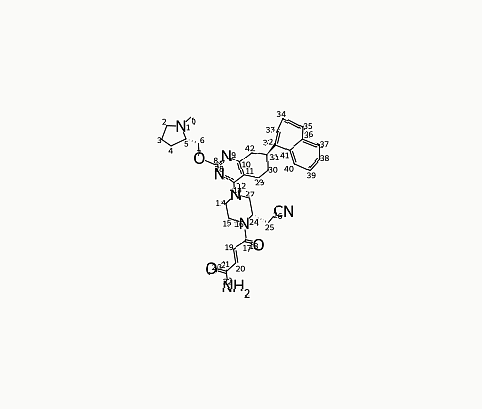 CN1CCC[C@H]1COc1nc2c(c(N3CCN(C(=O)/C=C/C(N)=O)[C@@H](CC#N)C3)n1)CC[C@H](c1cccc3ccccc13)C2